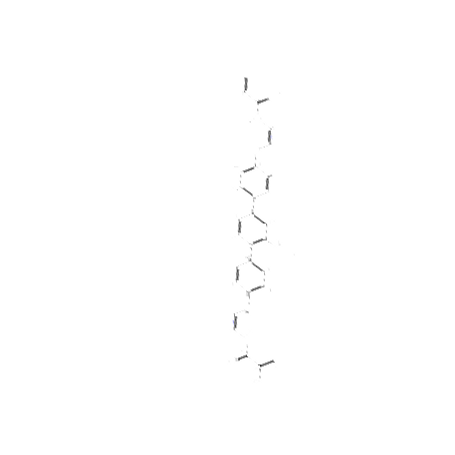 C=CC(=O)O/C=C\Oc1ccc(-c2ccc(-c3ccc(O/C=C\OC(=O)C(=C)C)cc3)c(C(F)(F)F)c2)cc1